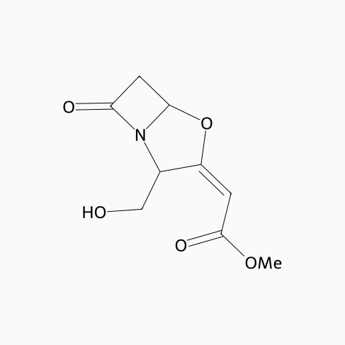 COC(=O)/C=C1/OC2CC(=O)N2C1CO